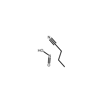 CCCC#N.O=NO